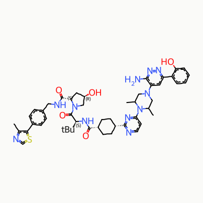 Cc1ncsc1-c1ccc(CNC(=O)[C@@H]2C[C@@H](O)CN2C(=O)[C@@H](NC(=O)[C@H]2CC[C@@H](c3nccc(N4C(C)CN(c5cc(-c6ccccc6O)nnc5N)CC4C)n3)CC2)C(C)(C)C)cc1